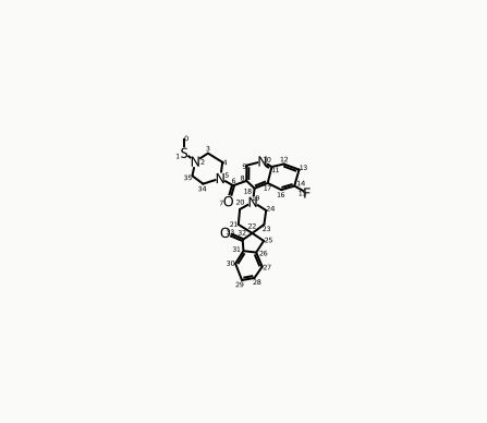 CSN1CCN(C(=O)c2cnc3ccc(F)cc3c2N2CCC3(CC2)Cc2ccccc2C3=O)CC1